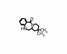 CC1(C)CCN2C(=O)c3ccccc3NCC2C1